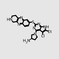 CCc1[nH]c2nc(Sc3ccc4nc5c(nc4c3)CCNC5)nc(N3CC[C@@H](N)C3)c2c1Cl